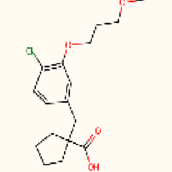 COCCCOc1cc(CC2(C(=O)O)CCCC2)ccc1Cl